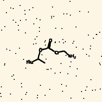 CCCCC(C)OC(=O)OCN